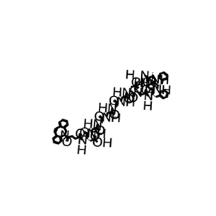 C[C@H](NC(=O)[C@H](Cc1ccccc1)NC(=O)[C@H](Cc1ccccc1)NC(=O)CNC(=O)[C@H](CC(=O)O)NC(=O)CNC(=O)CNC(=O)CNC(=O)CNC(=O)CNC(=O)[C@H](CC(=O)O)NC(=O)CCC(=O)N1Cc2ccccc2C#Cc2ccccc21)C(N)=O